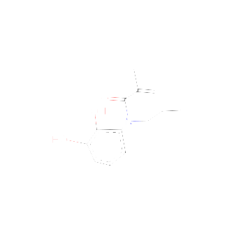 C=C(C)C(=O)N(CCC)c1cccc(O)c1O